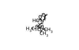 CCO[Si](CCN(CC1CO1)C(=O)O)(OCC)OCC